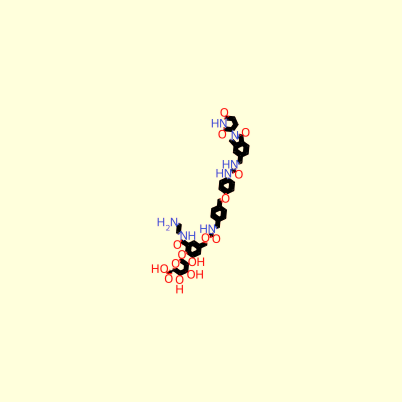 NCCNC(=O)c1cc(COC(=O)NCc2ccc(COc3ccc(NC(=O)NCc4ccc5c(c4)CN(C4CCC(=O)NC4=O)C5=O)cc3)cc2)ccc1O[C@@H]1O[C@H](C(=O)O)[C@@H](O)[C@H](O)[C@H]1O